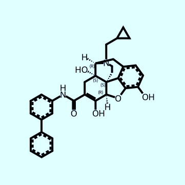 O=C(Nc1cccc(-c2ccccc2)c1)C1=C(O)[C@@H]2Oc3c(O)ccc4c3[C@@]23CCN(CC2CC2)[C@H](C4)[C@]3(O)C1